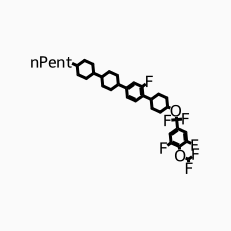 CCCCCC1CCC(C2CCC(c3ccc(C4CCC(OC(F)(F)c5cc(F)c(OC(F)F)c(F)c5)CC4)c(F)c3)CC2)CC1